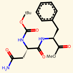 COC(=O)[C@H](Cc1ccccc1)NC(=O)[C@H](CC(N)=O)NC(=O)OC(C)(C)C